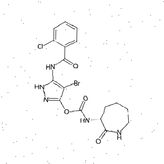 O=C(N[C@@H]1CCCCNC1=O)Oc1n[nH]c(NC(=O)c2ccccc2Cl)c1Br